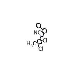 Cc1cc(/C=C/c2cccc(-c3ccccc3)c2C#N)c(Cl)cc1CCl